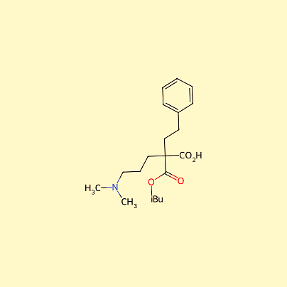 CCC(C)OC(=O)C(CCCN(C)C)(CCc1ccccc1)C(=O)O